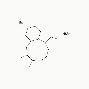 CCC(C)C1CCC2C(CCNC)CCCC(C)C(C)CC2C1